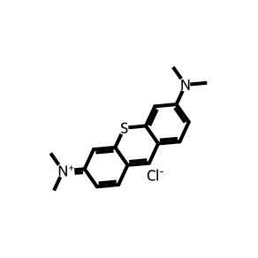 CN(C)c1ccc2cc3ccc(=[N+](C)C)cc-3sc2c1.[Cl-]